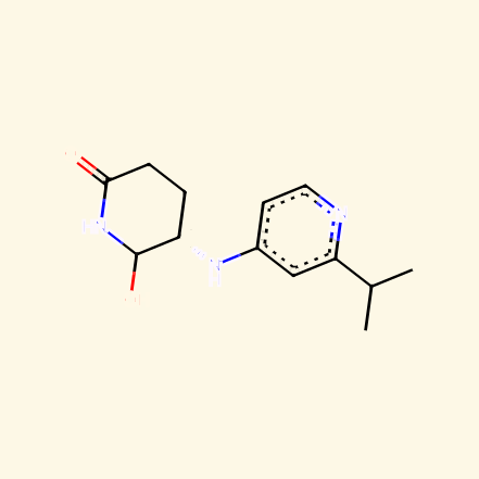 CC(C)c1cc(N[C@H]2CCC(=O)NC2O)ccn1